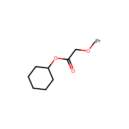 CC(C)OCC(=O)OC1CCCCC1